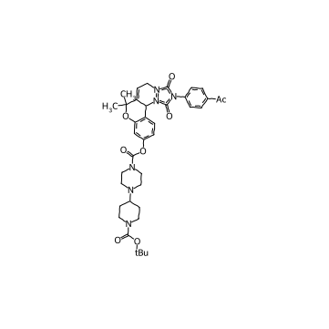 CC(=O)c1ccc(-n2c(=O)n3n(c2=O)C2C(=CC3)C(C)(C)Oc3cc(OC(=O)N4CCN(C5CCN(C(=O)OC(C)(C)C)CC5)CC4)ccc32)cc1